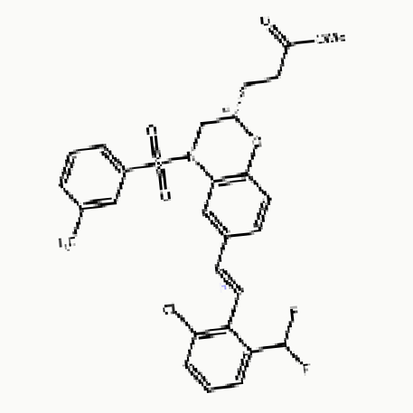 COC(=O)CC[C@H]1CN(S(=O)(=O)c2cccc(C)c2)c2cc(/C=C/c3c(Cl)cccc3C(F)F)ccc2O1